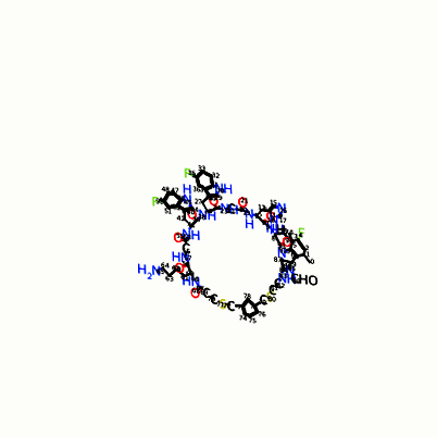 CC1C=C(F)C2(C)C[C@@H]3NC(=O)[C@H](Cc4cnc[nH]4)NC(=O)CNC(=O)[C@H](Cc4c[nH]c5ccc(F)cc45)NC(=O)[C@H](Cc4c[nH]c5ccc(F)cc45)NC(=O)CNC(=O)[C@H](CCCCN)NC(=O)CCSCc4cccc(c4)CSCCN/C(=N\C=O)[C@]4(C)CC1=C2N4C3=O